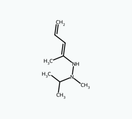 C=C/C=C(\C)NN(C)C(C)C